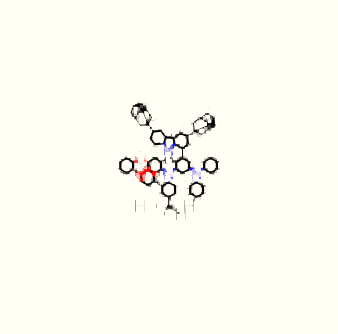 CC(C)(C)c1ccc(N2c3cc4c(cc3B3c5c(cc(N(c6ccccc6)c6ccccc6)cc52)-c2cc(C56CC7CC(CC(C7)C5)C6)cc5c6cc(C78CC9CC(CC(C9)C7)C8)ccc6n3c25)Oc2ccccc2O4)c(-c2ccccc2)c1